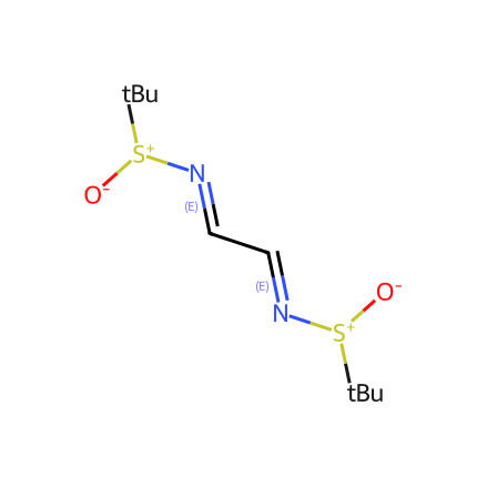 CC(C)(C)[S+]([O-])/N=C/C=N/[S+]([O-])C(C)(C)C